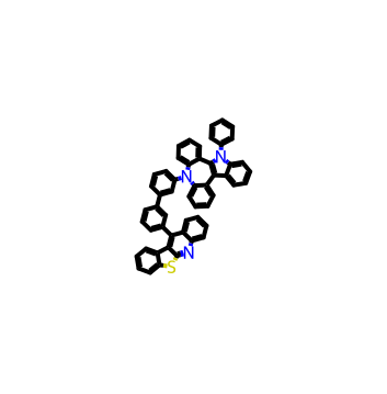 c1ccc(-n2c3c(c4ccccc42)-c2ccccc2N(c2cccc(-c4cccc(-c5c6ccccc6nc6sc7ccccc7c56)c4)c2)c2ccccc2-3)cc1